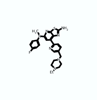 CCN1CCN(Cc2ccc(-c3cc(N(C)c4ccc(F)cc4)nc4sc(N)nc34)nc2)CC1